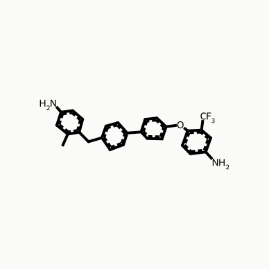 Cc1cc(N)ccc1Cc1ccc(-c2ccc(Oc3ccc(N)cc3C(F)(F)F)cc2)cc1